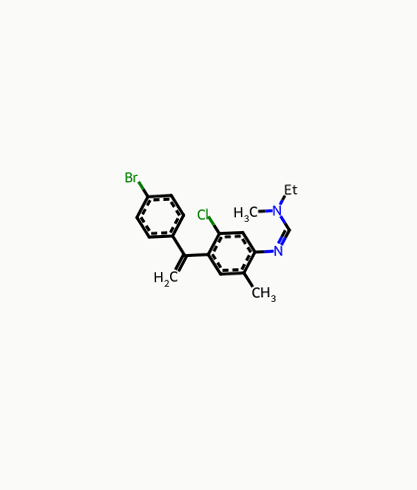 C=C(c1ccc(Br)cc1)c1cc(C)c(/N=C\N(C)CC)cc1Cl